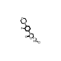 O=C1O[C@@H](CNCl)CN1c1ccc(N2CCOCC2)c(F)c1